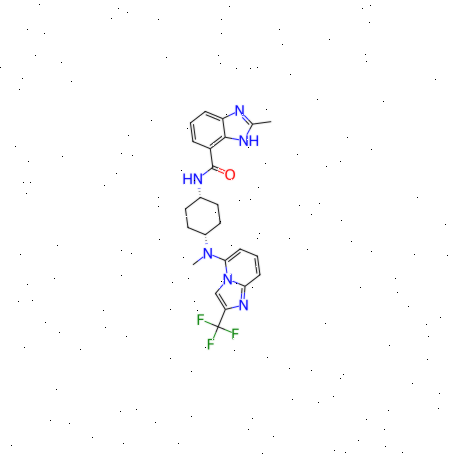 Cc1nc2cccc(C(=O)N[C@H]3CC[C@@H](N(C)c4cccc5nc(C(F)(F)F)cn45)CC3)c2[nH]1